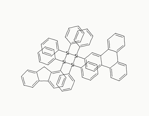 c1ccc([Si]2(c3ccc4c5ccccc5c5ccccc5c4c3)[Si](c3ccccc3)(c3ccccc3)[Si](c3ccccc3)(c3cccc4c3Cc3ccccc3-4)[Si]2(c2ccccc2)c2ccccc2)cc1